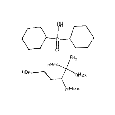 CCCCCCCCCCCCC(CCCCCC)C(P)(CCCCCC)CCCCCC.O=P(O)(C1CCCCC1)C1CCCCC1